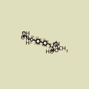 C[C@H](O)c1nccn1C(/C=C/c1ccc(-c2ccc(C3CC(NCC(=O)O)C3)cc2)cc1)CO